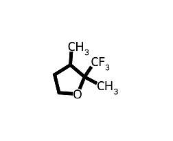 CC1CCOC1(C)C(F)(F)F